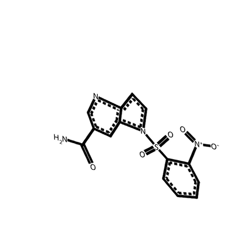 NC(=O)c1cnc2ccn(S(=O)(=O)c3ccccc3[N+](=O)[O-])c2c1